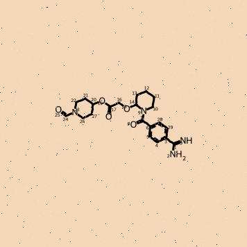 N=C(N)c1ccc(C(=O)N2CCCCC2OCC(=O)OC2CCN(C=O)CC2)cc1